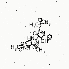 COP1(=O)N=C(c2c(O)c(-c3cccs3)nn(CCC(C)(C)C)c2=O)Nc2ccc(NS(C)(=O)=O)cc21